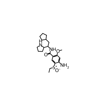 CC[S+]([O-])c1cc(C(=O)NC(CC2CCCC2)C2CCCN2)c(OC)cc1N